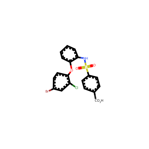 O=C(O)c1ccc(S(=O)(=O)Nc2ccccc2Oc2ccc(Br)cc2Cl)cc1